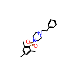 Cc1cc(C)c(S(=O)(=O)N2CCN(CCc3ccccc3)CC2)c(C)c1